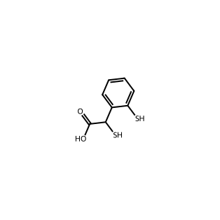 O=C(O)C(S)c1ccccc1S